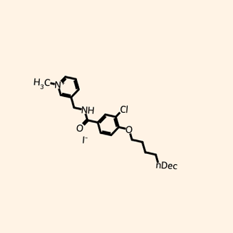 CCCCCCCCCCCCCCOc1ccc(C(=O)NCc2ccc[n+](C)c2)cc1Cl.[I-]